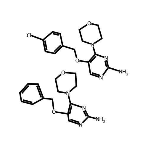 Nc1ncc(OCc2ccc(Cl)cc2)c(N2CCOCC2)n1.Nc1ncc(OCc2ccccc2)c(N2CCOCC2)n1